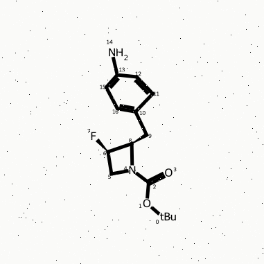 CC(C)(C)OC(=O)N1C[C@@H](F)[C@H]1Cc1ccc(N)cc1